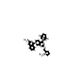 CN1CCCC1COc1nc2c(c(N3C[C@H]4CC[C@@H](C3)N4)n1)CCN(c1nc(N)cc3ccccc13)C2